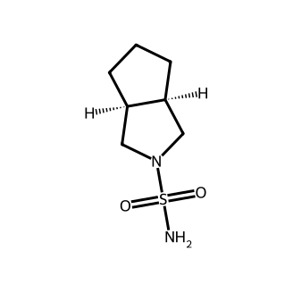 NS(=O)(=O)N1C[C@H]2CCC[C@H]2C1